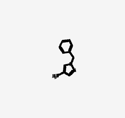 Bc1cnn(Cc2ccccc2)c1